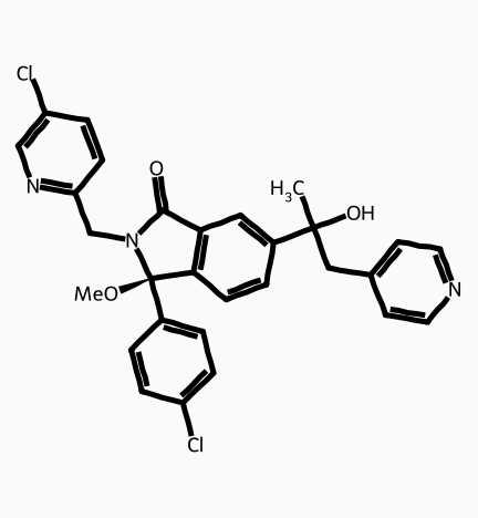 CO[C@]1(c2ccc(Cl)cc2)c2ccc(C(C)(O)Cc3ccncc3)cc2C(=O)N1Cc1ccc(Cl)cn1